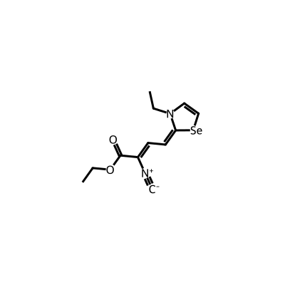 [C-]#[N+]C(=CC=C1[Se]C=CN1CC)C(=O)OCC